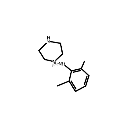 C1CNCCN1.CC(=O)Nc1c(C)cccc1C